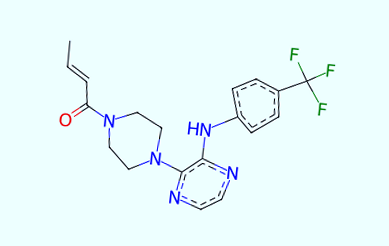 CC=CC(=O)N1CCN(c2nccnc2Nc2ccc(C(F)(F)F)cc2)CC1